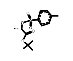 Cc1ccc(S(=O)(=O)O[C@@H](C)C(=O)OC(C)(C)C)cc1